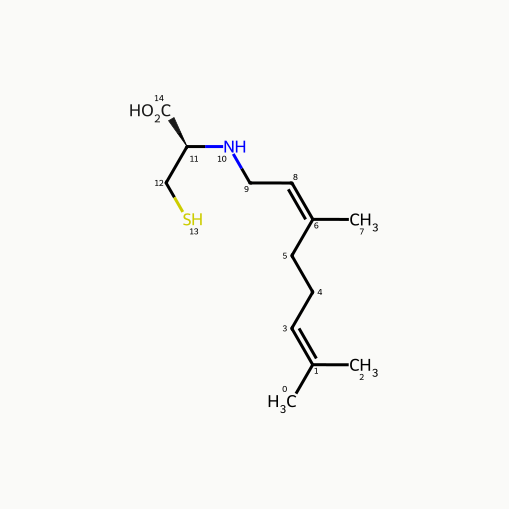 CC(C)=CCCC(C)=CCN[C@@H](CS)C(=O)O